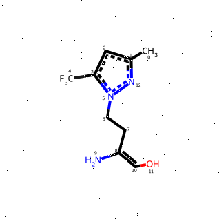 Cc1cc(C(F)(F)F)n(CC/C(N)=C\O)n1